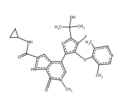 Cc1cncc(C)c1Oc1c(-c2cn(C)c(=O)c3[nH]c(C(=O)NC4CC4)cc23)sc(C(C)(C)O)c1F